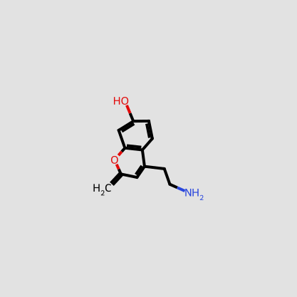 C=C1C=C(CCN)c2ccc(O)cc2O1